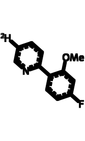 [2H]c1ccc(-c2ccc(F)cc2OC)nc1